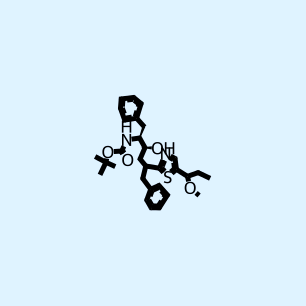 CCC(OC)c1cnc(C(Cc2ccccc2)C[C@H](O)[C@H](Cc2ccccc2)NC(=O)OC(C)(C)C)s1